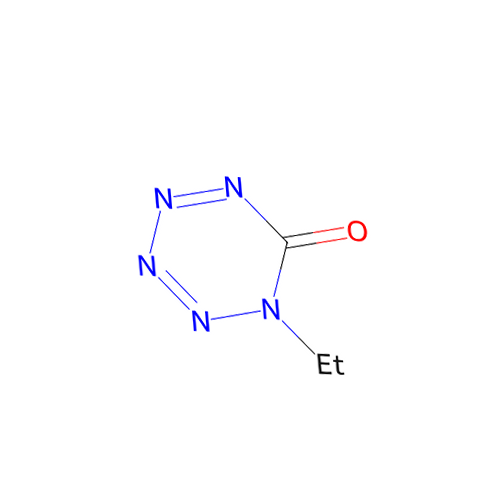 CCn1nnnnc1=O